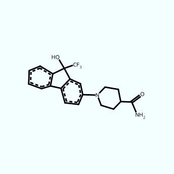 NC(=O)C1CCN(c2ccc3c(c2)C(O)(C(F)(F)F)c2ccccc2-3)CC1